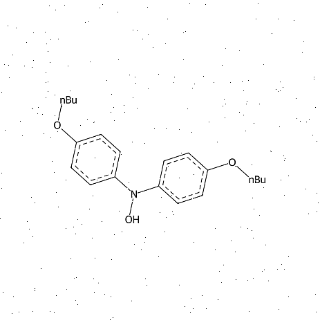 CCCCOc1ccc(N(O)c2ccc(OCCCC)cc2)cc1